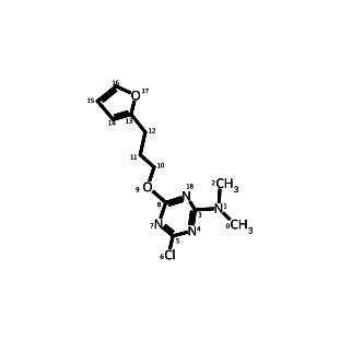 CN(C)c1nc(Cl)nc(OCCCc2ccco2)n1